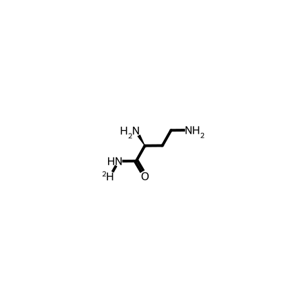 [2H]NC(=O)[C@@H](N)CCN